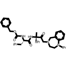 CCC[C@](C)(NC(=O)[C@H](CC(C)C)NC(=O)OCc1ccccc1)C(=O)CN1CCN(C(C)C)c2ccccc2C1